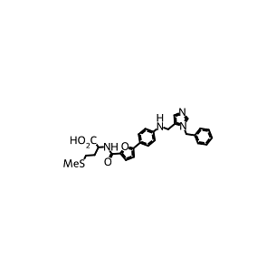 CSCCC(NC(=O)c1ccc(-c2ccc(NCc3cncn3Cc3ccccc3)cc2)o1)C(=O)O